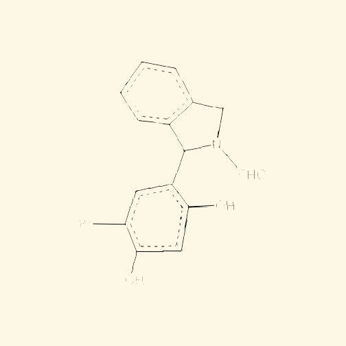 O=CN1Cc2ccccc2C1c1cc(Br)c(O)cc1O